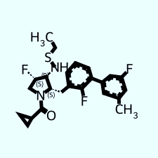 CCSN[C@H]1[C@@H](F)CN(C(=O)C2CC2)[C@H]1Cc1cccc(-c2cc(C)cc(F)c2)c1F